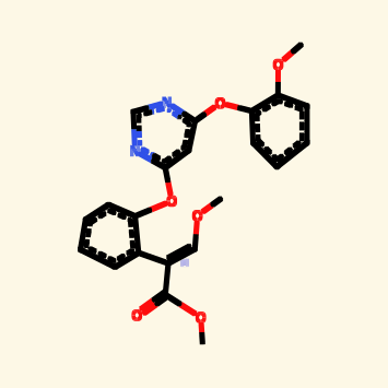 CO/C=C(/C(=O)OC)c1ccccc1Oc1cc(Oc2ccccc2OC)ncn1